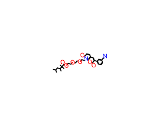 CC(C)CC(C)C(C)(C)C(=O)OCCOCCOCCn1c(=O)ccc2cc(-c3cccc(C#N)c3)c(=O)oc21